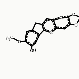 COc1cc2c(cc1O)-c1nc3cc4c(cc3cc1C2)OCO4